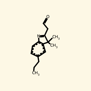 CCCc1ccc2c(c1)C(C)(C)C(CC=O)=N2